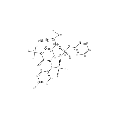 CC(C)(C)OC(=O)N([C@@H](c1ccc(F)cc1)C(F)(F)F)[C@@H](CS(=O)(=O)Cc1ccccn1)C(=O)NC1(C#N)CC1